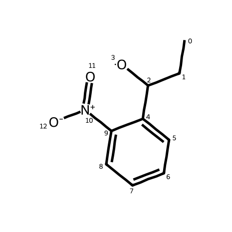 CCC([O])c1ccccc1[N+](=O)[O-]